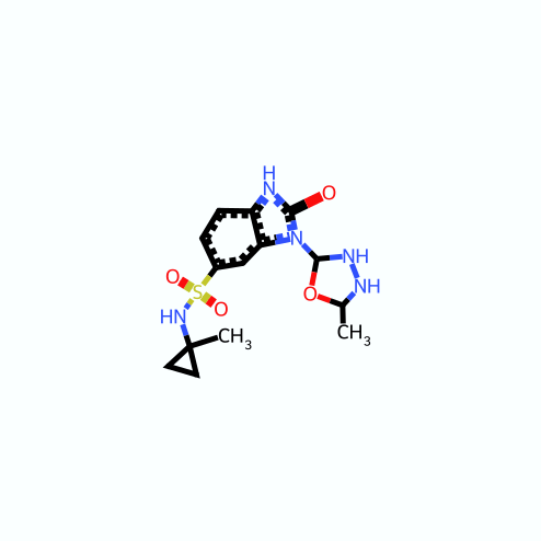 CC1NNC(n2c(=O)[nH]c3ccc(S(=O)(=O)NC4(C)CC4)cc32)O1